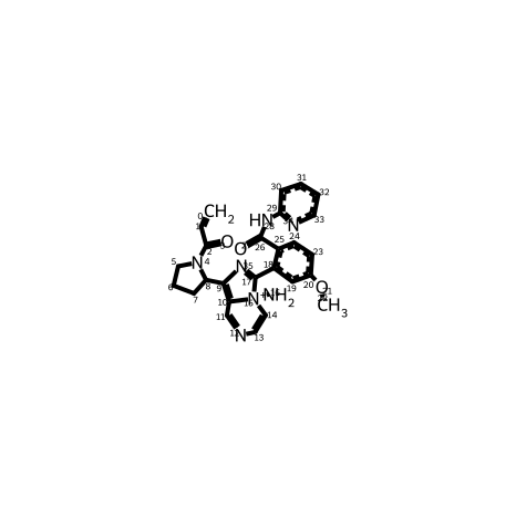 C=CC(=O)N1CCCC1C1=C2C=NC=C[N+]2(N)C(c2cc(OC)ccc2C(=O)Nc2ccccn2)=N1